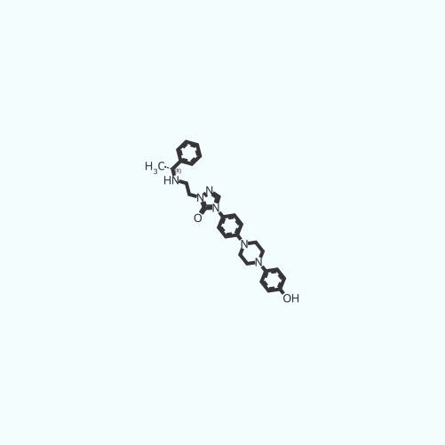 C[C@@H](NCCn1ncn(-c2ccc(N3CCN(c4ccc(O)cc4)CC3)cc2)c1=O)c1ccccc1